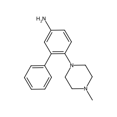 CN1CCN(c2ccc(N)cc2-c2ccccc2)CC1